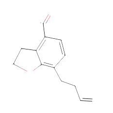 C=CCCc1ccc(C=O)c2c1OCC2